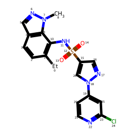 CCc1ccc2cnn(C)c2c1NS(=O)(=O)c1cnn(-c2ccnc(Cl)c2)c1